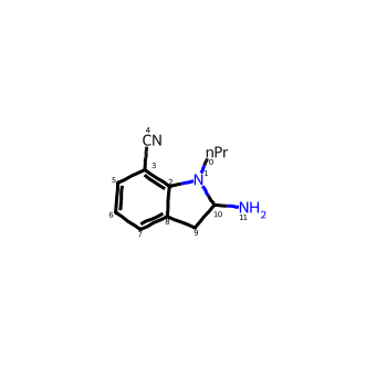 CCCN1c2c(C#N)cccc2CC1N